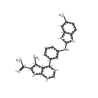 Cc1ccc2oc(Nc3cccc(-c4ncnc5sc(C(N)=O)c(N)c45)c3)nc2c1